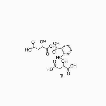 O=C(O)CC(O)C(=O)O.O=C(O)CC(O)C(=O)O.O=C(O)c1ccccc1O.[Ti]